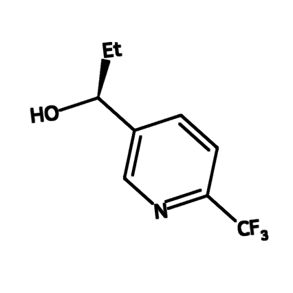 CC[C@H](O)c1ccc(C(F)(F)F)nc1